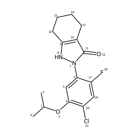 CC(C)Oc1cc(-n2[nH]c3c(c2=O)CCCC3)c(F)cc1Cl